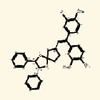 COc1nc(C(=C[C@H]2CCC3(C2)O[C@H](c2ccccc2)[C@@H](c2ccccc2)O3)c2ccc(SC)c(Cl)c2)ccc1C